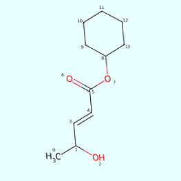 CC(O)C=CC(=O)OC1CCCCC1